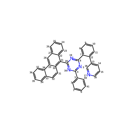 c1ccc(-c2nc(-c3ccccc3-c3cccnc3)nc(-c3c4ccccc4cc4c3ccc3ccccc34)n2)cc1